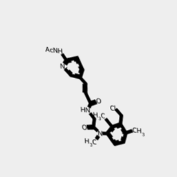 CC(=O)Nc1ccc(/C=C/C(=O)NCC(=O)N(C)c2ccc(C)c(CCl)c2C)cn1